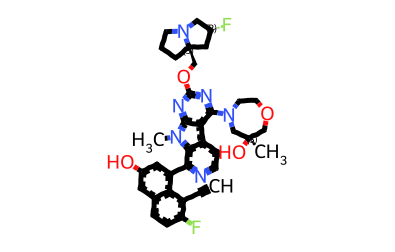 C#Cc1c(F)ccc2cc(O)cc(-c3nccc4c5c(N6CCOC[C@@](C)(O)C6)nc(OC[C@@]67CCCN6C[C@H](F)C7)nc5n(C)c34)c12